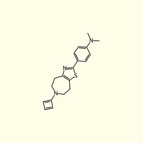 CN(C)c1ccc(-c2nc3c(s2)CCN(C2=CC=C2)CC3)cc1